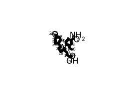 CCc1cc(C(N)=O)ccc1-n1c(CCC(=O)O)ccc1-c1ccc(OC)cc1